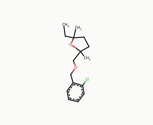 CCC1(C)CCC(C)(COCc2ccccc2Cl)O1